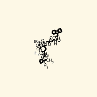 CC(C)(C)OC(=O)N1C(=O)OC(C)(C)C(COP2(=O)Oc3ccccc3C(C)(C)O2)C#Cc2cn(CC(=O)N(CCNC(=O)OCC3c4ccccc4-c4ccccc43)CC(=O)O)c(=O)nc21